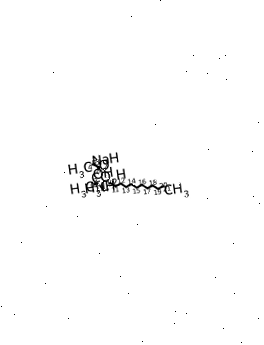 CC(=N)C(=O)O.CCC(=O)O.CCCCCCCCCCCCC.[NaH]